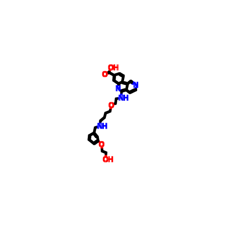 O=C(O)c1ccc2c(c1)nc(NCCOCCCCNCc1cccc(OCCO)c1)c1ccncc12